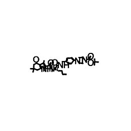 CCCC[C@H](NC(=O)c1[nH]c2c(c1C)C(=O)CC(C)(C)C2)C(=O)NCc1ccc(N2CCN(C(=O)OC(C)(C)C)CC2)cc1